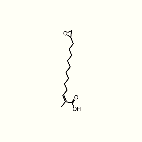 CC(=CCCCCCCCCCC1CO1)C(=O)O